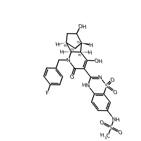 CS(=O)(=O)Nc1ccc2c(c1)S(=O)(=O)N=C(C1=C(O)[C@H]3[C@H]([C@H]4CC(O)[C@H]3C4)N(Cc3ccc(F)cc3)C1=O)N2